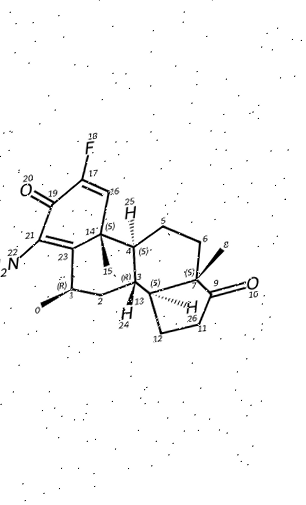 C[C@@H]1C[C@@H]2[C@H](CC[C@]3(C)C(=O)CC[C@@H]23)[C@@]2(C)C=C(F)C(=O)C(N)=C12